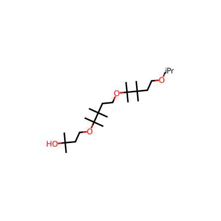 CC(C)OCCC(C)(C)C(C)(C)OCCC(C)(C)C(C)(C)OCCC(C)(C)O